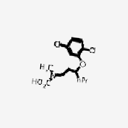 CCCC(CCN(C)C(=O)O)Oc1cc(Cl)ccc1Cl